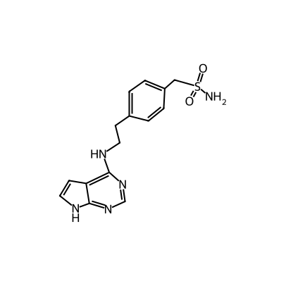 NS(=O)(=O)Cc1ccc(CCNc2ncnc3[nH]ccc23)cc1